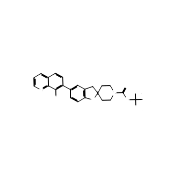 Cc1c(-c2ccc3c(c2)CC2(CCN(C(=O)OC(C)(C)C)CC2)O3)ccc2cccnc12